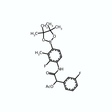 CC(=O)OC(C(=O)Nc1ccc(B2OC(C)(C)C(C)(C)O2)c(C)c1F)c1cccc(F)c1